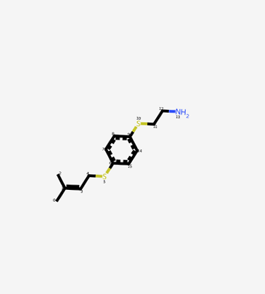 CC(C)=CCSc1ccc(SCCN)cc1